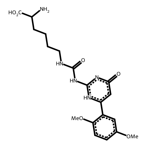 COc1ccc(OC)c(-c2cc(=O)nc(NC(=O)NCCCCC(N)C(=O)O)[nH]2)c1